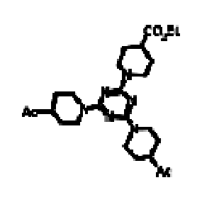 CCOC(=O)C1CCN(c2nc(N3CCC(C(C)=O)CC3)nc(N3CCC(C(C)=O)CC3)n2)CC1